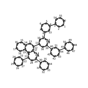 c1ccc(-c2cccc(-c3cc(-c4cc5ccccc5c5c(-c6ccccc6)cc(-c6ccccc6)nc45)cc(-c4cccc(-c5ccccc5)c4)n3)c2)cc1